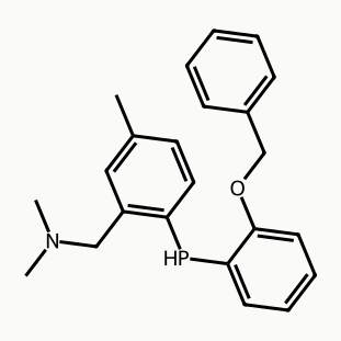 Cc1ccc(Pc2ccccc2OCc2ccccc2)c(CN(C)C)c1